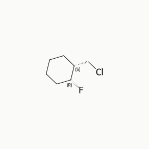 F[C@@H]1CCCC[C@@H]1CCl